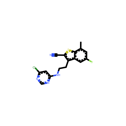 Cc1cc(F)cc2c(CCNc3cc(Cl)ncn3)c(C#N)sc12